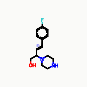 OCC(/C=C/c1ccc(F)cc1)N1CCNCC1